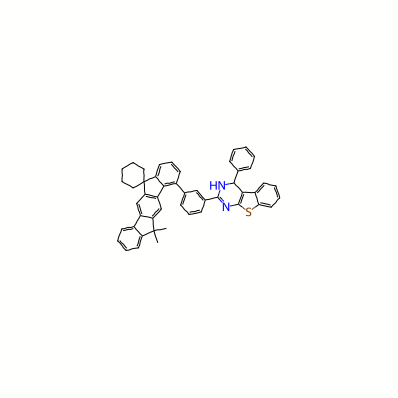 CC1(C)c2ccccc2-c2cc3c(cc21)-c1c(-c2cccc(C4=Nc5sc6ccccc6c5C(c5ccccc5)N4)c2)cccc1C31CCCCC1